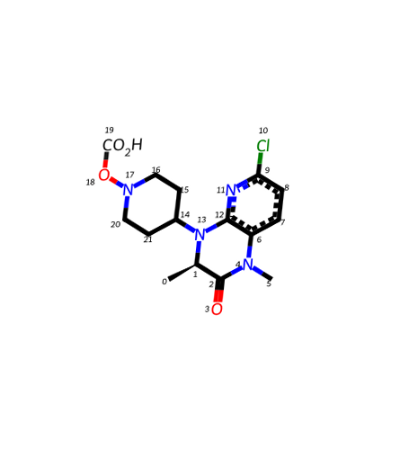 C[C@@H]1C(=O)N(C)c2ccc(Cl)nc2N1C1CCN(OC(=O)O)CC1